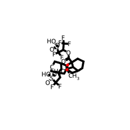 CC1CC2CCCC(C(=O)OC(C(F)(F)F)C(F)(F)S(=O)(=O)O)(C1)C2C1(C)CC2CCCC(CC(F)(F)S(=O)(=O)O)(C2)C1